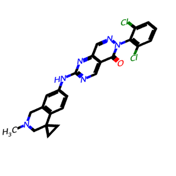 CN1Cc2cc(Nc3ncc4c(=O)n(-c5c(Cl)cccc5Cl)ncc4n3)ccc2C2(CC2)C1